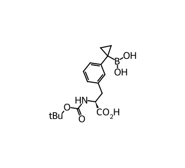 CC(C)(C)OC(=O)N[C@@H](Cc1cccc(C2(B(O)O)CC2)c1)C(=O)O